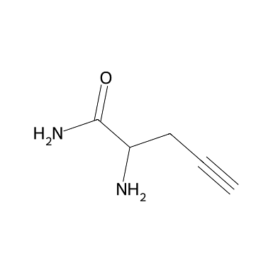 C#CCC(N)C(N)=O